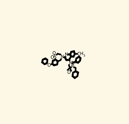 Cc1ccc2nc(N3CCS(=O)(=O)c4cc(Oc5ccccc5)ccc4C3)cc(NCC3(N(Cc4ccccc4)Cc4ccccc4)COC3)c2c1